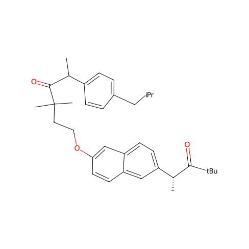 CC(C)Cc1ccc(C(C)C(=O)C(C)(C)CCOc2ccc3cc([C@@H](C)C(=O)C(C)(C)C)ccc3c2)cc1